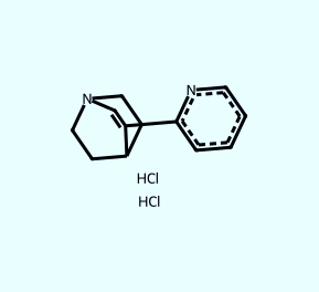 C1=C(c2ccccn2)C2CCN1CC2.Cl.Cl